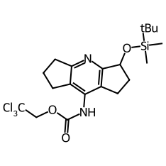 CC(C)(C)[Si](C)(C)OC1CCc2c1nc1c(c2NC(=O)OCC(Cl)(Cl)Cl)CCC1